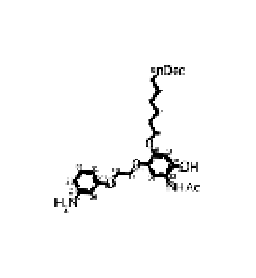 CCCCCCCCCCCCCCCCOc1cc(O)c(NC(C)=O)cc1OCCOc1cccc(N)c1